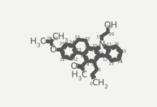 C=CCc1c(C(C)=O)c2c(c3c1c1ccccc1n3CCO)CCc1cc(OC(C)C)ccc1-2